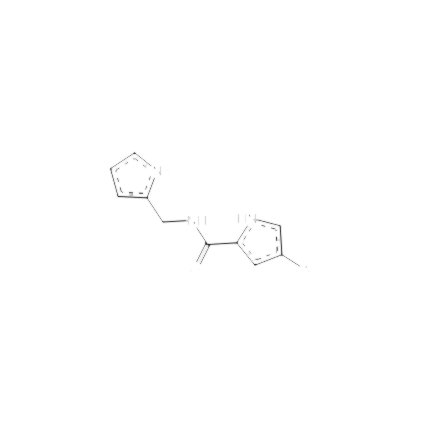 CC(=O)c1c[nH]c(C(=O)NCc2ccc[nH]2)c1